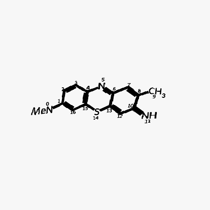 CNc1ccc2nc3cc(C)c(=N)cc-3sc2c1